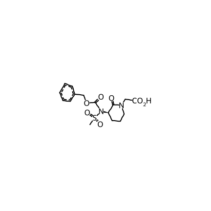 CS(=O)(=O)N(C(=O)OCc1ccccc1)[C@@H]1CCCN(CC(=O)O)C1=O